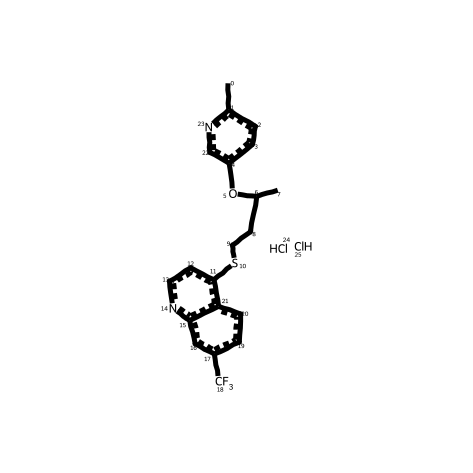 Cc1ccc(OC(C)CCSc2ccnc3cc(C(F)(F)F)ccc23)cn1.Cl.Cl